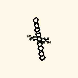 O=P(O)(O)Oc1c2c(c(OP(=O)(O)O)c3c1C1CC3c3cc4c(cc31)C1CC4c3ccccc31)C1CC2c2cc3c(cc21)C1CC3C2=CCCCC21